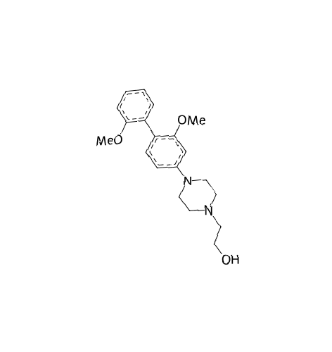 COc1ccccc1-c1ccc(N2CCN(CCO)CC2)cc1OC